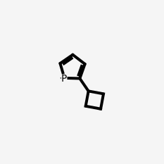 C1=C[P]C(C2CCC2)=C1